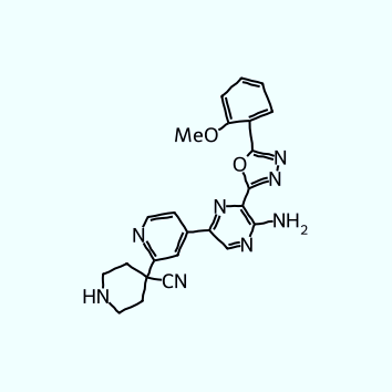 COc1ccccc1-c1nnc(-c2nc(-c3ccnc(C4(C#N)CCNCC4)c3)cnc2N)o1